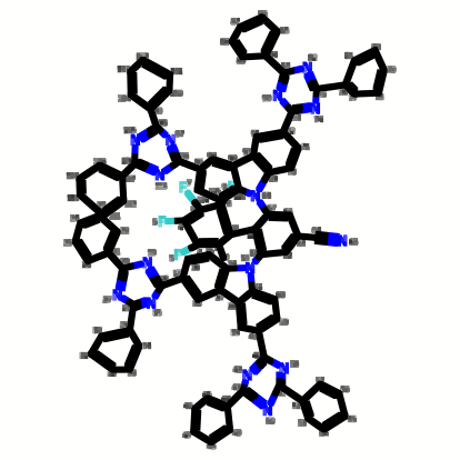 Cc1c(F)c(F)c(F)c(F)c1-c1c(-n2c3ccc(-c4nc(-c5ccccc5)nc(-c5ccccc5)n4)cc3c3cc(-c4nc(-c5ccccc5)nc(-c5ccccc5)n4)ccc32)cc(C#N)cc1-n1c2ccc(-c3nc(-c4ccccc4)nc(-c4ccccc4)n3)cc2c2cc(-c3nc(-c4ccccc4)nc(-c4ccccc4)n3)ccc21